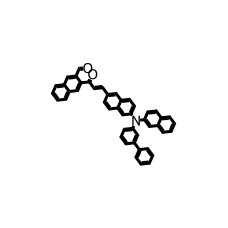 O=Cc1cc2ccccc2cc1C(=O)C=Cc1ccc2cc(N(c3cccc(-c4ccccc4)c3)c3ccc4ccccc4c3)ccc2c1